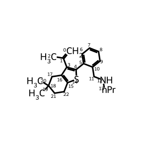 C=C(C)c1c(-c2ccccc2CNCCC)sc2c1CC(C)(C)CC2